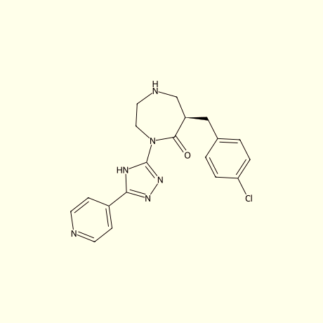 O=C1[C@H](Cc2ccc(Cl)cc2)CNCCN1c1nnc(-c2ccncc2)[nH]1